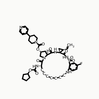 C=C[C@@H]1C[C@@]12NC(=O)[C@@H]1C[C@@H](OC(=O)N3CCC(c4ccncc4)CC3)CN1C(=O)[C@@H](NC(=O)OC1CCCC1)CCCCCCCNc1ccc(F)cc1S(=O)(=O)NC2=O